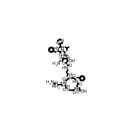 CC(C)C[C@@H](NC(=O)[C@@H](Cc1ccccc1)NC(=O)c1cnccn1)B1O[C@H]2[C@H](O)[C@@H](C(=O)NCCCC[C@@H]3NC(=O)[C@@H](Cc4ccccc4)NC(=O)[C@H](CC(=O)O)NC(=O)CNC(=O)[C@H](CCCN=C(N)N)NC3=O)O[C@@H](CN)[C@H]2O1